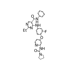 CCc1ncc(C(=O)Nc2ccccc2)c(Nc2ccc(Oc3ccnc(NC(=O)N4CCCC4)c3)c(F)c2)n1